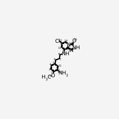 COc1ccc(CCCNc2cc(Cl)cn3c(=O)[nH]nc23)cc1N